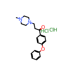 CN1CCN(CCC(=O)c2ccc(Oc3ccccc3)cc2)CC1.Cl.Cl